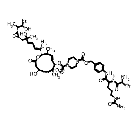 CCC(O)C(C)[C@H]1O[C@@H]1CC(C)(O)/C=C/C=C(\C)[C@H]1OC(=O)C[C@H](O)CC[C@@](C)(OC(C)=O)[C@@H](OC(=O)N2CCN(C(=O)OCc3ccc(NC(=O)C(CCCNC(N)=O)NC(=O)C(N)C(C)C)cc3)CC2)/C=C/[C@@H]1C